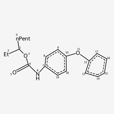 CCCCCC(CC)OC(=O)Nc1ccc(Oc2ccccc2)cc1